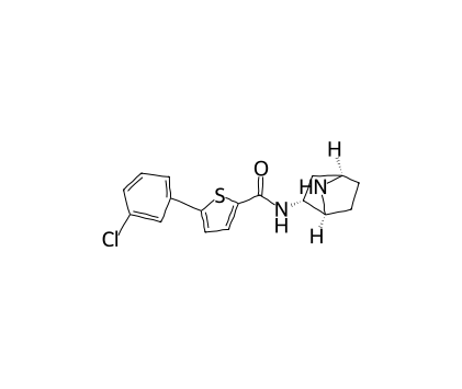 O=C(N[C@@H]1C[C@H]2CC[C@@H]1N2)c1ccc(-c2cccc(Cl)c2)s1